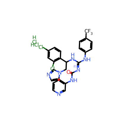 Cl.Cl.O=C(/N=C(/Nc1ccc(C(F)(F)F)cc1)NC(Cn1ccnc1)c1ccc(Cl)cc1Cl)Nc1cccnc1